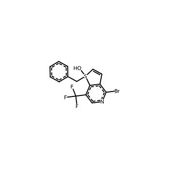 OS1(Cc2ccccc2)C=Cc2c(Br)ncc(C(F)(F)F)c21